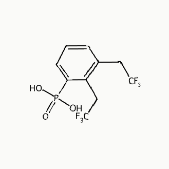 O=P(O)(O)c1cccc(CC(F)(F)F)c1CC(F)(F)F